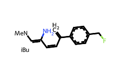 C=C(/C=C\C(N)=C(\NC)[C@H](C)CC)c1ccc(CF)cc1